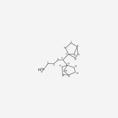 PCCCC(C12CCC(CC1)C2)C12CCC(CC1)C2